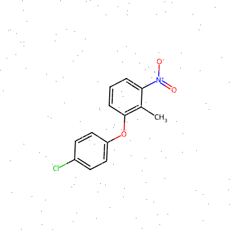 Cc1c(Oc2ccc(Cl)cc2)cccc1[N+](=O)[O-]